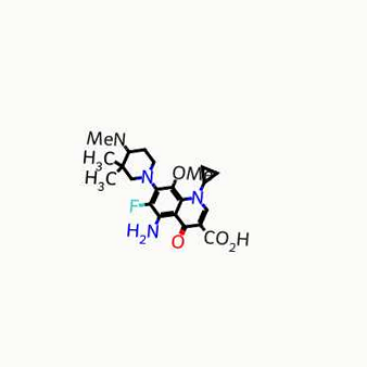 CNC1CCN(c2c(F)c(N)c3c(=O)c(C(=O)O)cn(C4CC4)c3c2OC)CC1(C)C